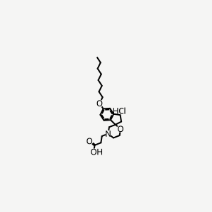 CCCCCCCCOc1ccc2c(c1)CCC21CN(CCC(=O)O)CCO1.Cl